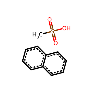 CS(=O)(=O)O.c1ccc2ccccc2c1